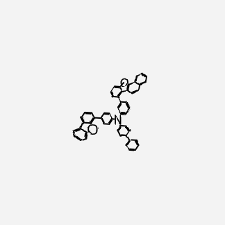 c1ccc(-c2ccc(N(c3ccc(-c4cccc5c4oc4ccccc45)cc3)c3cccc(-c4cccc5oc6c7ccccc7ccc6c45)c3)cc2)cc1